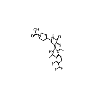 Cc1nc(NC(C)c2cccc(C(F)F)c2F)c2cc(C3=CCN(C(=O)O)CC3)n(C)c(=O)c2n1